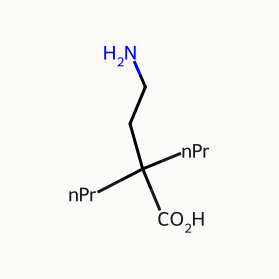 CCCC(CCC)(CCN)C(=O)O